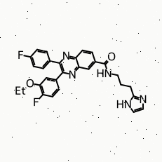 CCOc1cc(-c2nc3cc(C(=O)NCCCc4ncc[nH]4)ccc3nc2-c2ccc(F)cc2)ccc1F